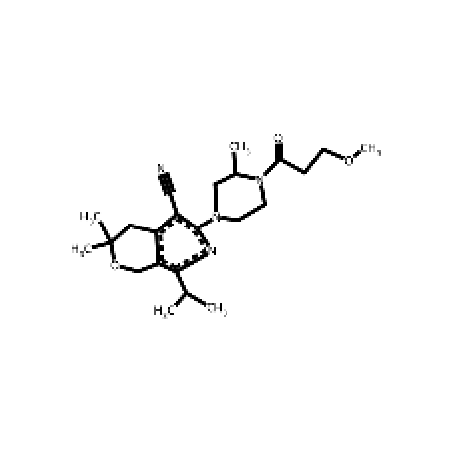 COCCC(=O)N1CCN(c2nc(C(C)C)c3c(c2C#N)CC(C)(C)OC3)CC1C